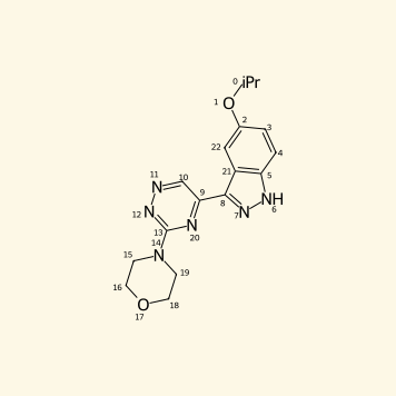 CC(C)Oc1ccc2[nH]nc(-c3cnnc(N4CCOCC4)n3)c2c1